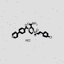 Cl.NC(=O)C1CN(S(=O)(=O)/C=C/c2ccc(Cl)cc2)CCN1C(=O)c1ccc(-c2ccncc2)cc1